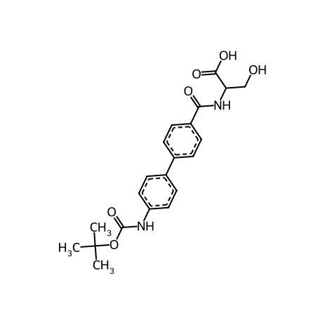 CC(C)(C)OC(=O)Nc1ccc(-c2ccc(C(=O)NC(CO)C(=O)O)cc2)cc1